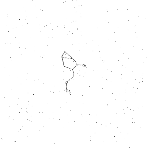 COCC1CC2CC2N1C